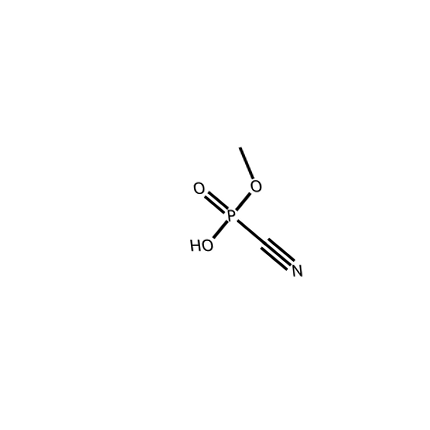 COP(=O)(O)C#N